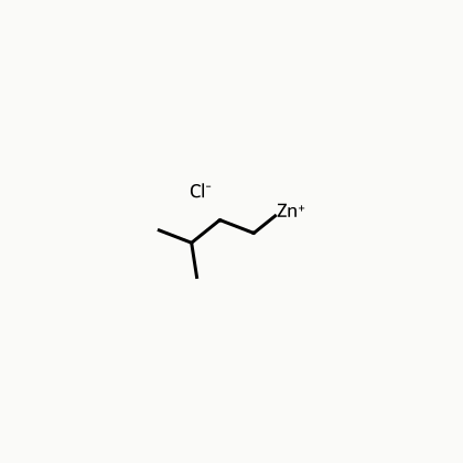 CC(C)C[CH2][Zn+].[Cl-]